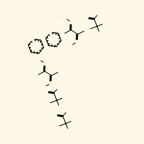 CC(=NO)C(C)=NO.CC(=NO)C(C)=NO.O=C([O-])C(Cl)(Cl)Cl.O=C([O-])C(Cl)(Cl)Cl.O=C([O-])C(Cl)(Cl)Cl.[Co+3].c1ccncc1.c1ccncc1